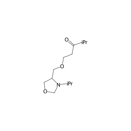 CC(C)C(=O)CCOCC1COCN1C(C)C